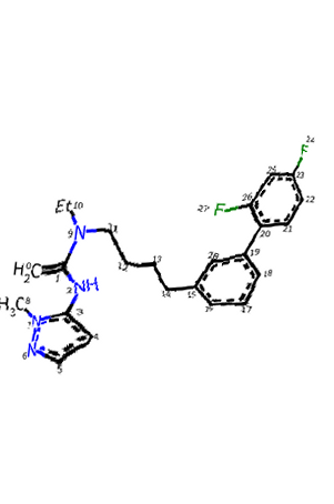 C=C(Nc1ccnn1C)N(CC)CCCCc1cccc(-c2ccc(F)cc2F)c1